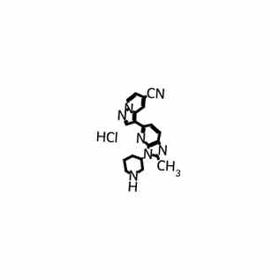 Cc1nc2ccc(-c3cnn4ccc(C#N)cc34)nc2n1[C@H]1CCCNC1.Cl